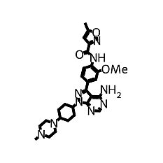 COc1cc(-c2nn(C3CCC(N4CCN(C)CC4)CC3)c3ncnc(N)c23)ccc1NC(=O)c1cc(C)on1